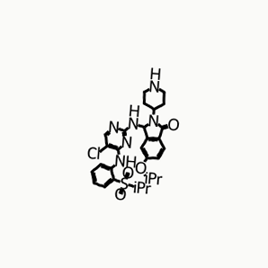 CC(C)Oc1ccc2c(c1)C(Nc1ncc(Cl)c(Nc3ccccc3S(=O)(=O)C(C)C)n1)N(C1CCNCC1)C2=O